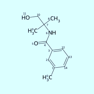 Cc1[c]c(C(=O)NC(C)(C)CO)ccc1